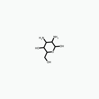 NC1C(O)OC(CO)C(O)C1N